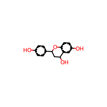 Oc1ccc(C2CC(O)c3cc(O)ccc3O2)cc1